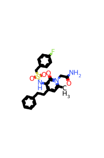 Cc1cc(CCc2ccccc2)c(NS(=O)(=O)Cc2ccc(F)cc2)c(=O)n1CC(N)=O